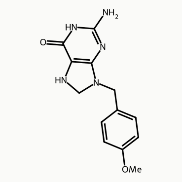 COc1ccc(CN2CNc3c2nc(N)[nH]c3=O)cc1